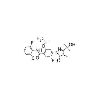 C[C@H](Oc1cc(-n2nc(C(C)(C)O)n(C)c2=O)c(F)cc1C(=O)Nc1c(F)cccc1Cl)C(F)(F)F